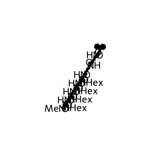 CCCCCCC(=O)N(CCNC(=O)CN(CCNC(=O)CN(CCNC(=O)CN(CCNC(=O)CCCCCNC(=O)CCCCCNC(=O)OCC1c2ccccc2-c2ccccc21)C(=O)CCCCCC)C(=O)CCCCCC)C(=O)CCCCCC)CC(=O)NC